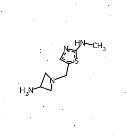 CNc1ncc(CN2CC(N)C2)s1